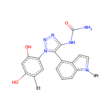 CCc1cc(-n2nnc(NC(N)=O)c2-c2cccc3c2ccn3C(C)C)c(O)cc1O